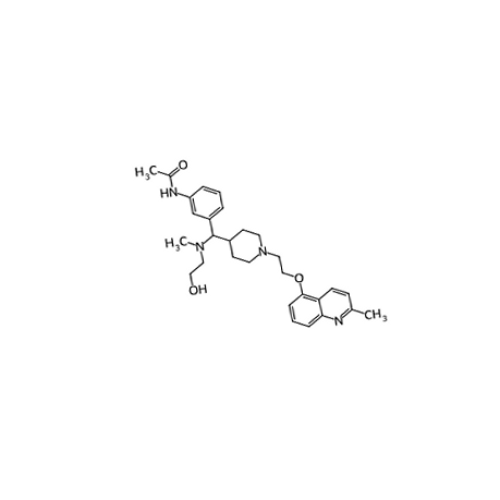 CC(=O)Nc1cccc(C(C2CCN(CCOc3cccc4nc(C)ccc34)CC2)N(C)CCO)c1